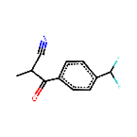 CC(C#N)C(=O)c1ccc(C(F)F)cc1